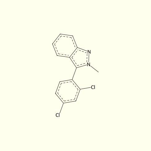 Cn1nc2ccccc2c1-c1ccc(Cl)cc1Cl